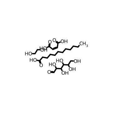 CCCCCCCCCCCC(=O)O.O=C(O)/C=C\C(=O)O.O=CC(O)C(O)C(O)C(O)CO.OCCO